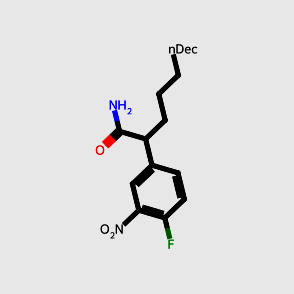 CCCCCCCCCCCCCC(C(N)=O)c1ccc(F)c([N+](=O)[O-])c1